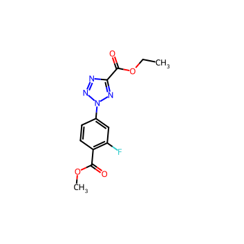 CCOC(=O)c1nnn(-c2ccc(C(=O)OC)c(F)c2)n1